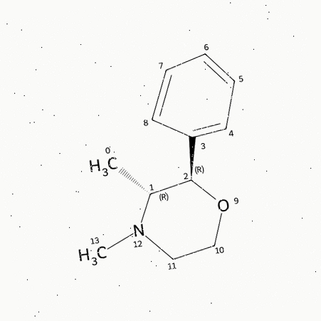 C[C@@H]1[C@@H](c2ccccc2)OCCN1C